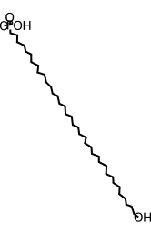 O=P(O)(O)CCCCCCCCCCCCCCCCCCCCCCCCCCCCCCCCCCCCCO